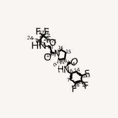 C[C@H]1[C@@H](C(=O)Nc2cc(F)c(F)c(F)c2)CCN1C(=O)C(=O)N[C@H](C)C(F)(F)F